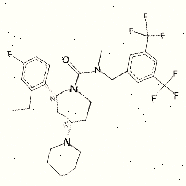 CCc1cc(F)ccc1[C@H]1C[C@@H](N2CCCCC2)CCN1C(=O)N(C)Cc1cc(C(F)(F)F)cc(C(F)(F)F)c1